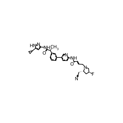 C[C@H](C(=O)Nc1cc(C2CC2)[nH]n1)c1cccc(-c2ccc(NC(=O)/C=C/CN3C[C@@H](F)C[C@@H]3CC#N)nc2)c1